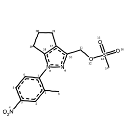 Cc1cc([N+](=O)[O-])ccc1-n1nc(COS(C)(=O)=O)c2c1CCC2